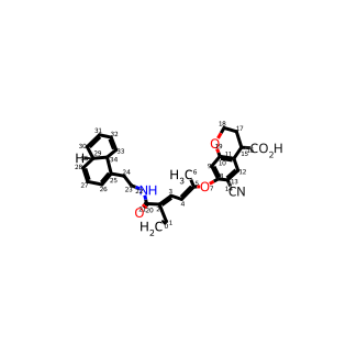 C=C/C(=C\C=C(/C)Oc1cc2c(cc1C#N)C(C(=O)O)CCO2)C(=O)NCCC1=CC=C[C@@H]2C=CC=CC12